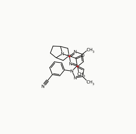 Cc1cc(C)nc(N2C3CCC2CN(C(=O)c2cc(C)nn2-c2cccc(C#N)c2)C3)n1